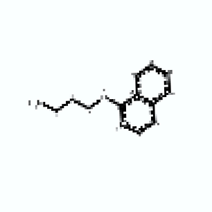 NCCCOc1nccc2ccccc12